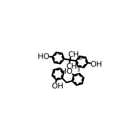 CC(C)(c1ccc(O)cc1)c1ccc(O)cc1.Oc1ccccc1Cc1ccccc1O